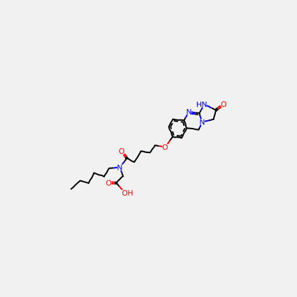 CCCCCCN(CC(=O)O)C(=O)CCCCOc1ccc2c(c1)CN1CC(=O)NC1=N2